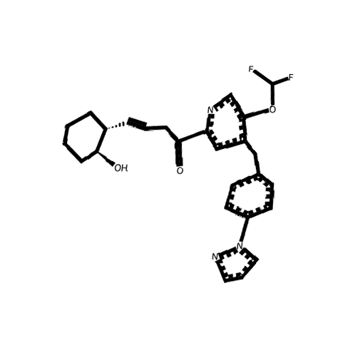 O=C(C/C=C/[C@H]1CCCC[C@@H]1O)c1cc(Cc2ccc(-n3cccn3)cc2)c(OC(F)F)cn1